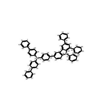 c1ccc(-c2ccc(N(c3ccc(-c4ccccc4)cc3)c3ccc(-c4ccc5c(c4)c4cc(-c6ccccc6)cc(-c6ccccc6)c4n5-c4ccccc4)cc3)cc2)cc1